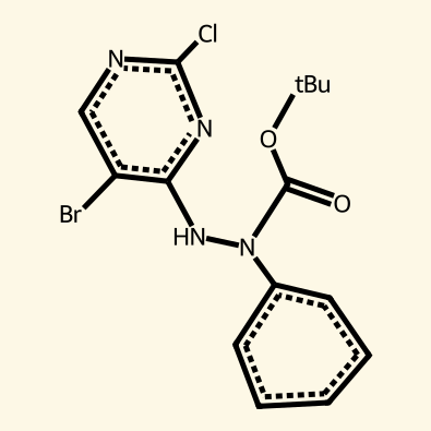 CC(C)(C)OC(=O)N(Nc1nc(Cl)ncc1Br)c1ccccc1